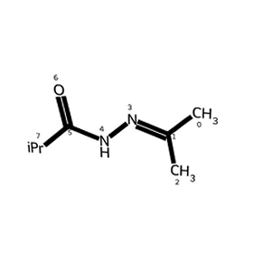 CC(C)=NNC(=O)C(C)C